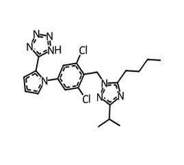 CCCCc1nc(C(C)C)nn1Cc1c(Cl)cc(-n2cccc2-c2nnn[nH]2)cc1Cl